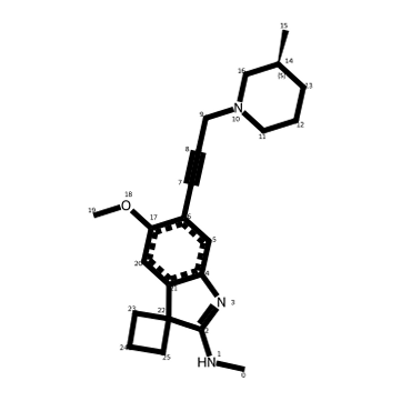 CNC1=Nc2cc(C#CCN3CCC[C@H](C)C3)c(OC)cc2C12CCC2